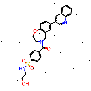 O=C(c1ccc(S(=O)(=O)NCCO)cc1)N1CCOc2ccc(-c3cnc4ccccc4c3)cc2C1